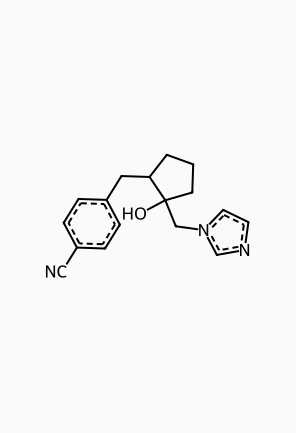 N#Cc1ccc(CC2CCCC2(O)Cn2ccnc2)cc1